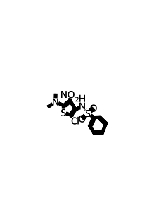 CN(C)c1sc(Cl)c(NS(=O)(=O)c2ccccc2)c1[N+](=O)[O-]